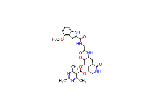 COc1cccc2[nH]c(C(=O)NCC(=O)N[C@@H](C[C@@H]3CCCNC3=O)C(=O)COC(=O)c3c(C)nc(C)nc3C)cc12